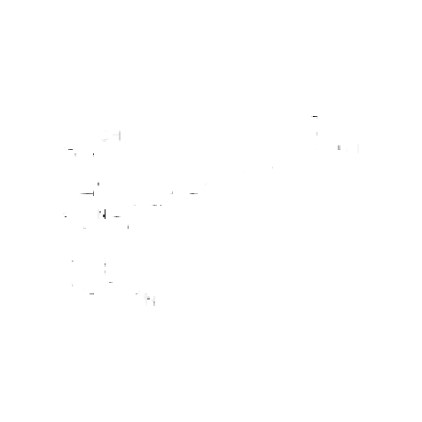 N#Cc1cccc(C2SC[C@@H](OC(=O)O)N2C(=O)CCCCCCCCCCC(=O)O)c1